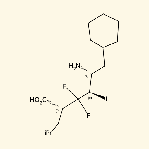 CC(C)C[C@H](C(=O)O)C(F)(F)[C@H](I)[C@H](N)CC1CCCCC1